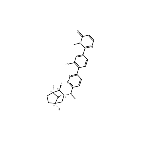 CN(c1ccc(-c2ccc(-c3nccc(=O)n3C)cc2O)nn1)[C@@H]1C[C@H]2CC[C@@](C)([C@H]1F)N2C